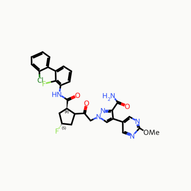 COc1ncc(-c2cn(CC(=O)C3C[C@H](F)C[C@H]3C(=O)Nc3cccc(-c4ccccc4Cl)c3F)nc2C(N)=O)cn1